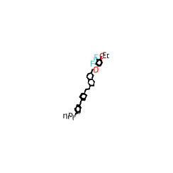 CCCc1ccc(-c2ccc(CCC3CCC4CC(COc5ccc(OCC)c(F)c5F)CCC4C3)cc2)cc1